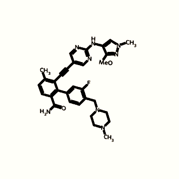 COc1nn(C)cc1Nc1ncc(C#Cc2c(C)ccc(C(N)=O)c2-c2ccc(CN3CCN(C)CC3)c(F)c2)cn1